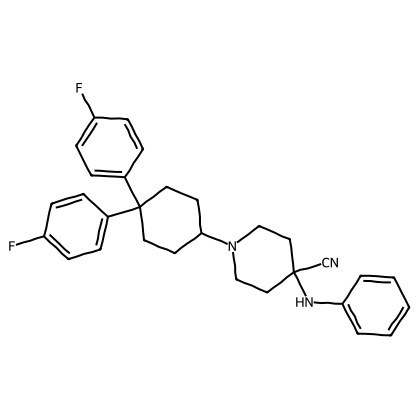 N#CC1(Nc2ccccc2)CCN(C2CCC(c3ccc(F)cc3)(c3ccc(F)cc3)CC2)CC1